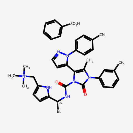 CC[C@H](NC(=O)n1c(-c2ccnn2-c2ccc(C#N)cc2)c(C)n(-c2cccc(C(F)(F)F)c2)c1=O)c1ccc(C[N+](C)(C)C)[nH]1.O=S(=O)(O)c1ccccc1